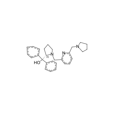 OC(c1ccccc1)(c1ccccc1)[C@@H]1CCCN1Cc1cccc(CN2CCCC2)n1